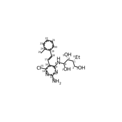 CC[C@H](CO)[C@@H](O)C(O)Nc1nc(N)nc(Cl)c1/C=C/c1ccccc1C